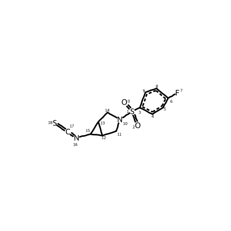 O=S(=O)(c1ccc(F)cc1)N1CC2C(C1)C2N=C=S